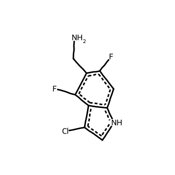 NCc1c(F)cc2[nH]cc(Cl)c2c1F